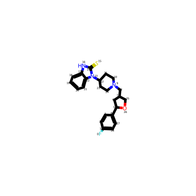 Fc1ccc(C2CC(CN3CCC(n4c(=S)[nH]c5ccccc54)CC3)CO2)cc1